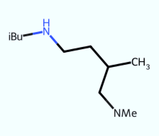 CCC(C)NCCC(C)CNC